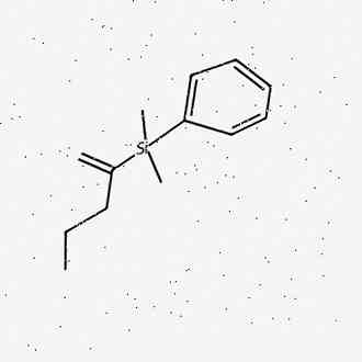 C=C(CCC)[Si](C)(C)c1ccccc1